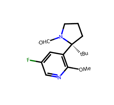 COc1ncc(F)cc1[C@]1(C(C)(C)C)CCCN1[C]=O